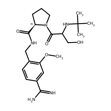 COc1cc(C(=N)N)ccc1CNC(=O)[C@H]1CCCN1C(=O)C(CO)NC(C)(C)C